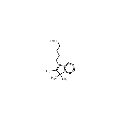 CCOC(=O)CCCC[N+]1=C(C)C(C)(C)c2ccccc21